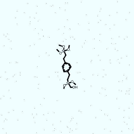 CO[Si](CO)(CCc1ccc(CC[Si](OC)(OC)OC)cc1)OC